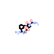 N=C(N)c1cccc(C[C@]2(OC(=O)C(F)(F)F)CCN(C(N)=O)C2=O)c1